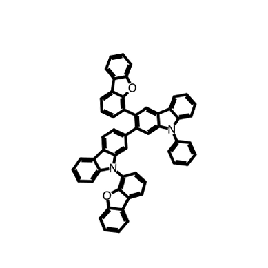 c1ccc(-n2c3ccccc3c3cc(-c4cccc5c4oc4ccccc45)c(-c4ccc5c6ccccc6n(-c6cccc7c6oc6ccccc67)c5c4)cc32)cc1